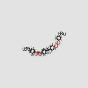 CC(C)(C)c1ccc(OCOc2ccc(C(C)(C)c3ccc(OCOc4ccc(C(C)(C)C)cc4)cc3)cc2)cc1